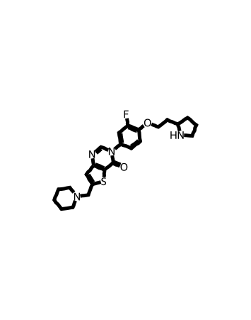 O=c1c2sc(CN3CCCCC3)cc2ncn1-c1ccc(OCCC2CCCN2)c(F)c1